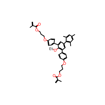 C=C(C)C(=O)OCCCOc1ccc(-c2cc(-c3c(C)cc(C)cc3C)cc(-c3ccc(OCCCOC(=O)C(=C)C)cc3)c2OCC)cc1